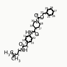 CN(C)CCNC(=O)Cc1ccc(NC(=O)C2CCN(C(=O)OCc3ccccc3)CC2)cc1